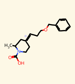 CC1C/C(=C/CCOCc2ccccc2)CCN1C(=O)O